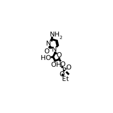 CCOP(C)(=O)COC1OC(n2ccc(N)nc2=O)C(O)C1O